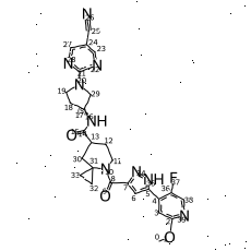 COc1cc(-c2cc(C(=O)N3CCC(C(=O)N[C@H]4CCN(c5ncc(C#N)cn5)C4)CC34CC4)n[nH]2)c(F)cn1